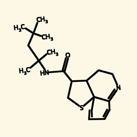 CC(C)(C)CC(C)(C)NC(=O)C1CSC23C=CC=CC2=NCCC13